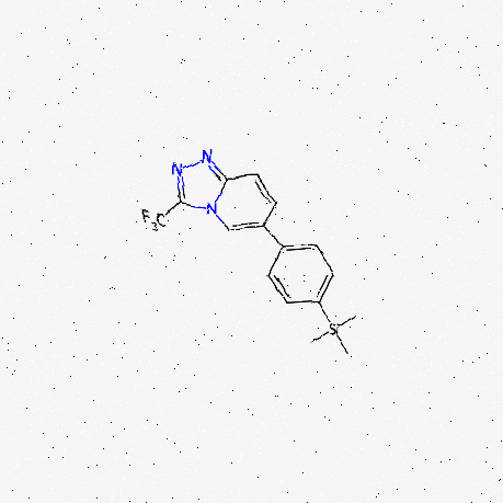 C[Si](C)(C)c1ccc(-c2ccc3nnc(C(F)(F)F)n3c2)cc1